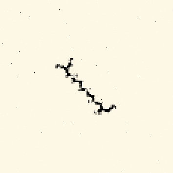 CC(C)CC(CNCCSSCCNCC(CC(C)C)C(C)C)C(C)C